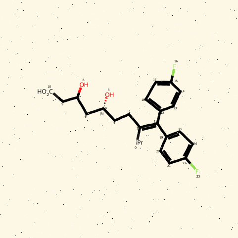 CC(C)C(CC[C@@H](O)CC(O)CC(=O)O)=C(c1ccc(F)cc1)c1ccc(F)cc1